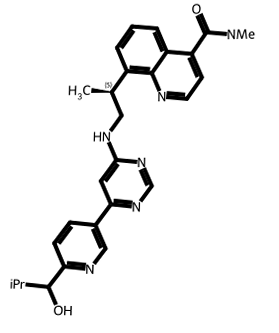 CNC(=O)c1ccnc2c([C@H](C)CNc3cc(-c4ccc(C(O)C(C)C)nc4)ncn3)cccc12